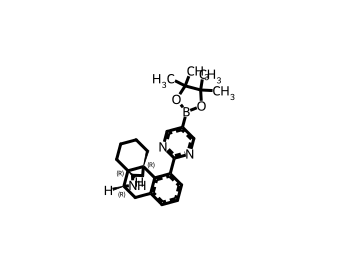 CC1(C)OB(c2cnc(-c3cccc4c3[C@@]35CCCC[C@H]3[C@@H](C4)NCC5)nc2)OC1(C)C